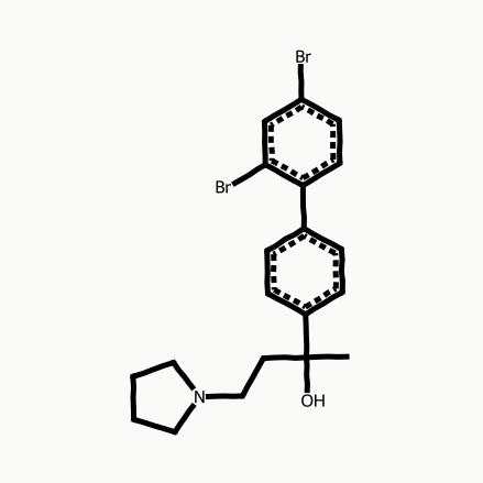 CC(O)(CCN1CCCC1)c1ccc(-c2ccc(Br)cc2Br)cc1